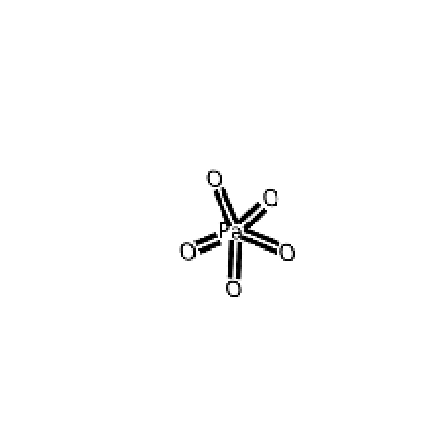 [O]=[Pa](=[O])(=[O])(=[O])=[O]